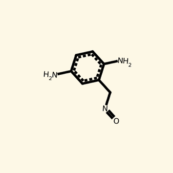 Nc1ccc(N)c(CN=O)c1